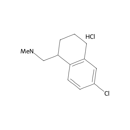 CNCC1CCCc2cc(Cl)ccc21.Cl